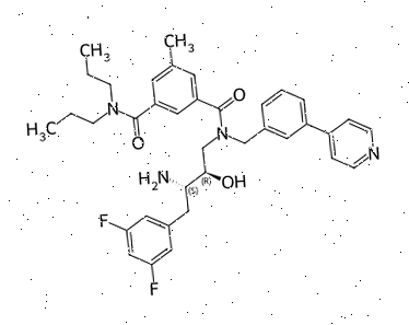 CCCN(CCC)C(=O)c1cc(C)cc(C(=O)N(Cc2cccc(-c3ccncc3)c2)C[C@@H](O)[C@@H](N)Cc2cc(F)cc(F)c2)c1